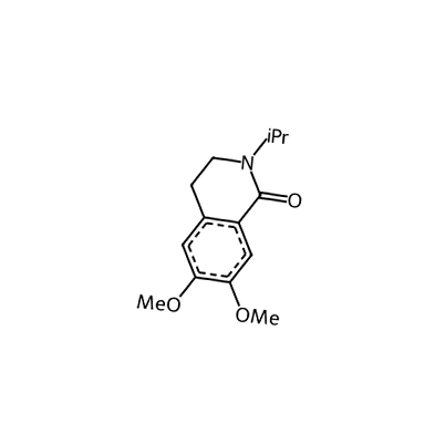 COc1cc2c(cc1OC)C(=O)N(C(C)C)CC2